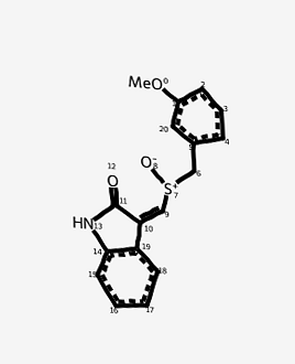 COc1cccc(C[S+]([O-])C=C2C(=O)Nc3ccccc32)c1